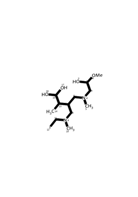 COC(O)CN(C)CC(CN(C)CI)C(C)C(O)O